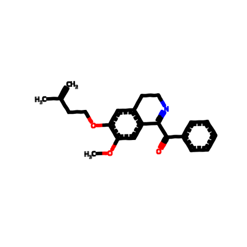 C=C(C)CCOc1cc2c(cc1OC)C(C(=O)c1ccccc1)=NCC2